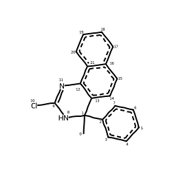 CC1(c2ccccc2)NC(Cl)=Nc2c1ccc1ccccc21